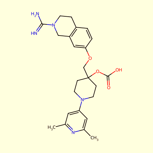 Cc1cc(N2CCC(COc3ccc4c(c3)CN(C(=N)N)CC4)(OC(=O)O)CC2)cc(C)n1